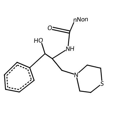 CCCCCCCCCC(=O)NC(CN1CCSCC1)C(O)c1ccccc1